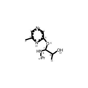 Cc1cncc(OC(NC(C)C)C(C)O)n1